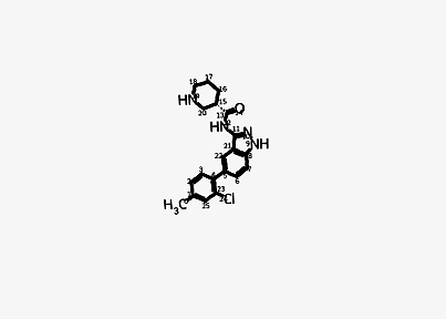 Cc1ccc(-c2ccc3[nH]nc(NC(=O)[C@H]4CCCNC4)c3c2)c(Cl)c1